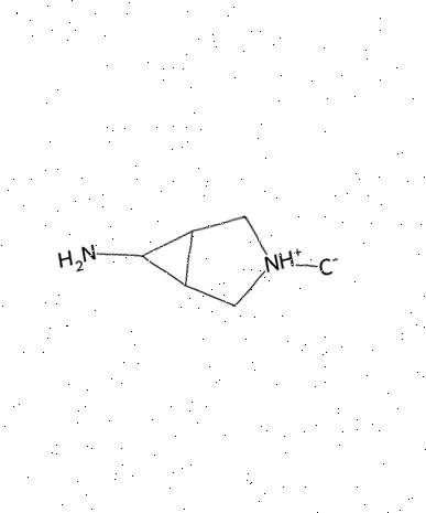 [CH2-][NH+]1CC2C(N)C2C1